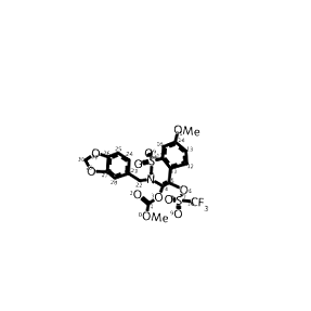 COC(=O)OC1=C(OS(=O)(=O)C(F)(F)F)c2ccc(OC)cc2S(=O)(=O)N1Cc1ccc2c(c1)OCO2